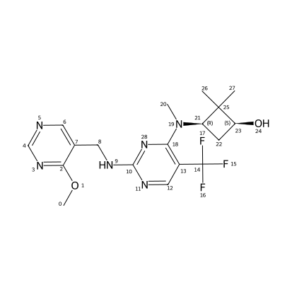 COc1ncncc1CNc1ncc(C(F)(F)F)c(N(C)[C@@H]2C[C@H](O)C2(C)C)n1